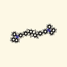 Cc1cc(C)c(-c2c(C)cc(C)c(-c3ccc(-c4ccc(N(c5ccccc5)c5cccc6ccccc56)cc4)cc3)c2C)c(C)c1-c1ccc(-c2ccc(N(c3ccccc3)c3cccc4ccccc34)cc2)cc1